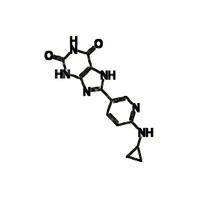 O=c1[nH]c(=O)c2[nH]c(-c3ccc(NC4CC4)nc3)nc2[nH]1